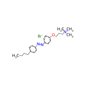 CCCCc1ccc(/N=N/c2ccc(OCCC[N+](C)(C)C)cc2)cc1.[Br-]